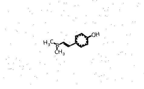 CB(C)C=Cc1ccc(O)cc1